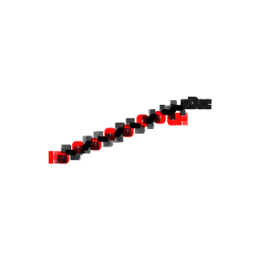 CCCCCCCCCCCCC(O)COCCOCCOCCOCCOCCOCCO